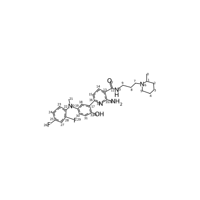 CC1CCCCN1CCCNC(=O)c1ccc(-c2cc(N(C)c3ccc(F)cc3F)ccc2O)nc1N